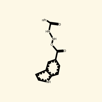 CCCC(=O)NNOC(=O)c1ccc2[nH]ccc2c1